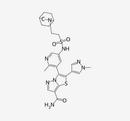 Cc1ncc(NS(=O)(=O)CCN2CC3CCC2CC3)cc1-c1c(-c2cnn(C)c2)sc2c(C(N)=O)cnn12